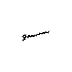 CCCCCCCCCCCCCCCCN1CCC[C@@H]1C=O